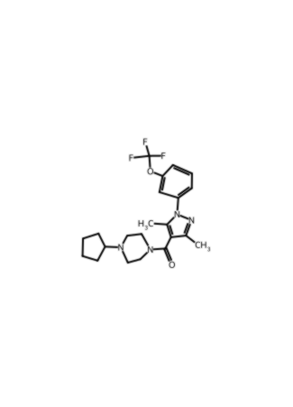 Cc1nn(-c2cccc(OC(F)(F)F)c2)c(C)c1C(=O)N1CCN(C2CCCC2)CC1